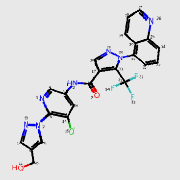 O=C(Nc1cnc(-n2cc(CO)cn2)c(Cl)c1)c1cnn(-c2cccc3ncccc23)c1C(F)(F)F